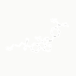 CCCCS(=O)(=O)c1ccc2c(c1)C(C)(C)C1(/C=C/c3ccc(N(C)C)cc3)OCCN21